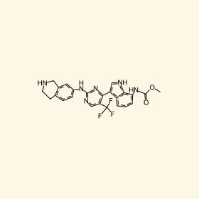 COC(=O)Nc1cccc2c(-c3nc(Nc4ccc5c(c4)CNCC5)ncc3C(F)(F)F)c[nH]c12